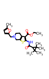 CCOC(=O)c1c(NC(=O)C2C(C)(C)C2(C)C)sc2c1CCN(Cc1ccc(C)o1)C2